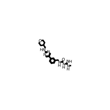 CNC(=N)NC(=O)NCc1cccc(-c2cnc(NCC3CCOCC3)nc2)c1